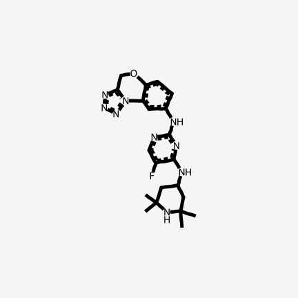 CC1(C)CC(Nc2nc(Nc3ccc4c(c3)-n3nnnc3CO4)ncc2F)CC(C)(C)N1